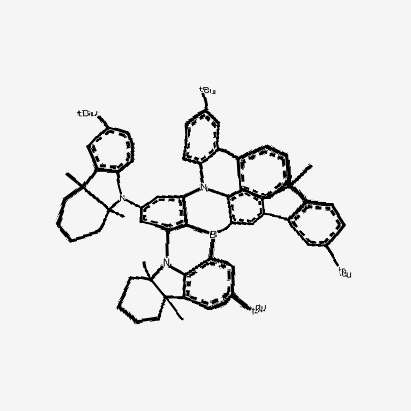 CC(C)(C)c1ccc(N2c3cc4c(cc3B3c5cc(C(C)(C)C)cc6c5N(c5cc(N7c8ccc(C(C)(C)C)cc8C8(C)CCCCC78C)cc2c53)C2(C)CCCCC62C)-c2cc(C(C)(C)C)ccc2C4(C)C)c(-c2ccccc2)c1